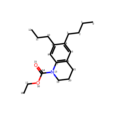 CCCCc1cc2c(cc1CCC)N(C(=O)OCC)CCC2